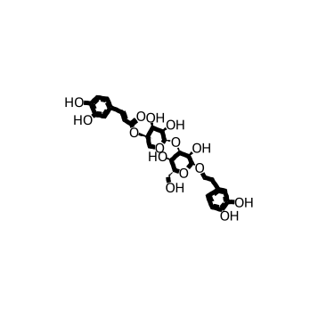 O=C(/C=C/c1ccc(O)c(O)c1)O[C@@H]1CO[C@@H](O[C@H]2[C@@H](O)[C@@H](CO)O[C@@H](OCCc3ccc(O)c(O)c3)[C@@H]2O)[C@H](O)[C@@H]1O